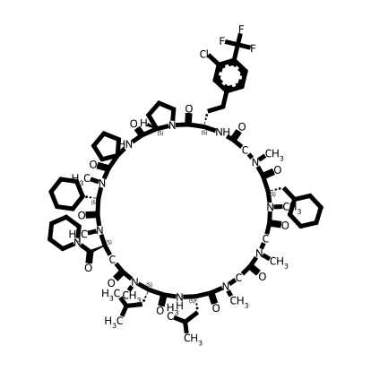 CC(C)C[C@@H]1NC(=O)[C@H](CC(C)C)N(C)C(=O)C[C@@H](C(=O)N2CCCCC2)N(C)C(=O)[C@H](C2CCCCC2)N(C)C(=O)C2(CCCC2)NC(=O)[C@@H]2CCCN2C(=O)[C@H](CCc2ccc(C(F)(F)F)c(Cl)c2)NC(=O)CN(C)C(=O)[C@H](CC2CCCCC2)N(C)C(=O)CN(C)C(=O)CN(C)C1=O